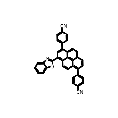 N#Cc1ccc(-c2ccc3ccc4c(-c5ccc(C#N)cc5)cc(-c5nc6ccccc6o5)c5ccc2c3c45)cc1